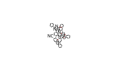 N#Cc1cc(-c2nc(-c3ccccc3)nc(-c3ccccc3)n2)c(-n2c3ccccc3c3cc4c(cc32)oc2ccccc24)c(-n2c3ccccc3c3cc4c(cc32)oc2ccccc24)c1-c1ccccc1